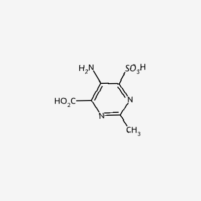 Cc1nc(C(=O)O)c(N)c(S(=O)(=O)O)n1